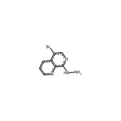 NNc1ncc(Br)c2cccnc12